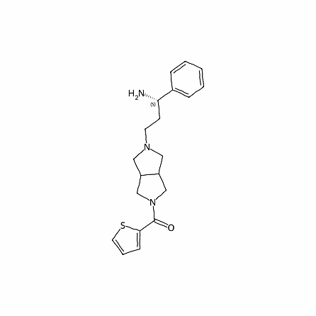 N[C@@H](CCN1CC2CN(C(=O)c3cccs3)CC2C1)c1ccccc1